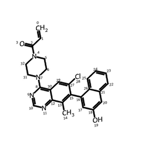 C=CC(=O)N1CCN(c2ncnc3c(C)c(-c4cc(O)cc5ccccc45)c(Cl)cc23)CC1